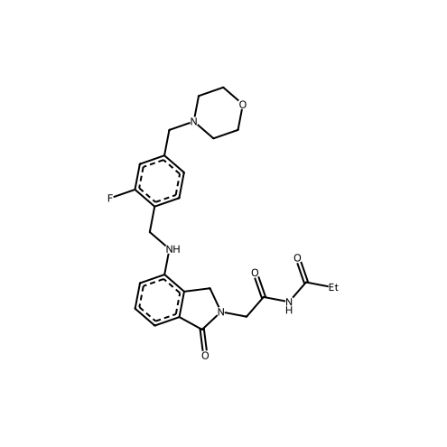 CCC(=O)NC(=O)CN1Cc2c(NCc3ccc(CN4CCOCC4)cc3F)cccc2C1=O